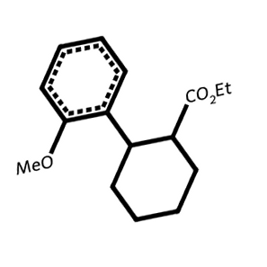 CCOC(=O)C1CCCCC1c1ccccc1OC